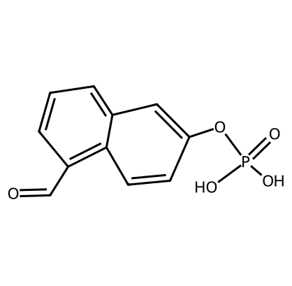 O=Cc1cccc2cc(OP(=O)(O)O)ccc12